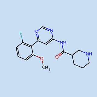 COc1cccc(F)c1-c1cc(NC(=O)C2CCCNC2)ncn1